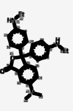 CCNc1ccc(C2(c3ccc(NCC)cc3)OC(=O)c3cc(N(C)C)ccc32)cc1